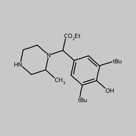 CCOC(=O)C(c1cc(C(C)(C)C)c(O)c(C(C)(C)C)c1)N1CCNCC1C